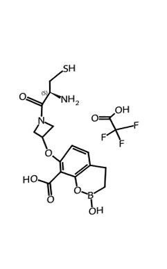 N[C@H](CS)C(=O)N1CC(Oc2ccc3c(c2C(=O)O)OB(O)CC3)C1.O=C(O)C(F)(F)F